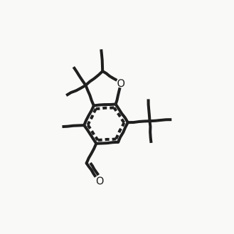 Cc1c(C=O)cc(C(C)(C)C)c2c1C(C)(C)C(C)O2